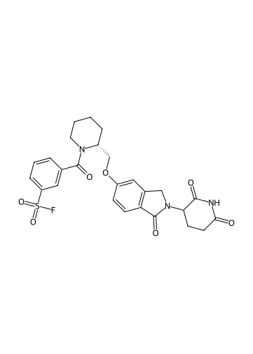 O=C1CCC(N2Cc3cc(OC[C@H]4CCCCN4C(=O)c4cccc(S(=O)(=O)F)c4)ccc3C2=O)C(=O)N1